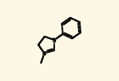 C[N+]1=CN(c2ccccc2)CC1